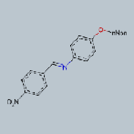 CCCCCCCCCOc1ccc(/N=C/c2ccc([N+](=O)[O-])cc2)cc1